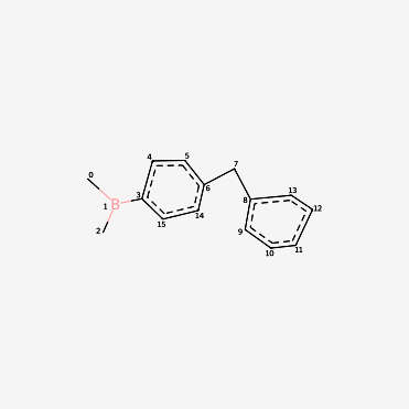 CB(C)c1ccc(Cc2ccccc2)cc1